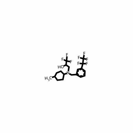 CC1CCC(N(Cc2cccc(C(F)(F)C(F)(F)F)c2)CC(O)C(F)(F)F)CC1